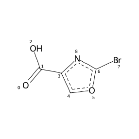 O=C(O)c1coc(Br)n1